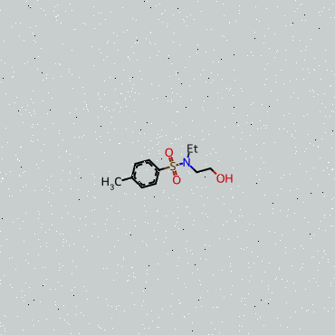 CCN(CCO)S(=O)(=O)c1ccc(C)cc1